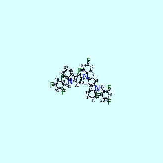 Fc1ccc(N(c2ccc3c(c2)c2ccccc2n3Cc2c(F)cc(F)cc2F)c2ccc3c(c2)c2ccccc2n3Cc2c(F)cc(F)cc2F)c(F)c1